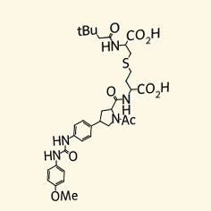 COc1ccc(NC(=O)Nc2ccc(C3CC(C(=O)NC(CCSCC(NC(=O)CC(C)(C)C)C(=O)O)C(=O)O)N(C(C)=O)C3)cc2)cc1